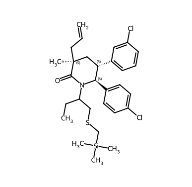 C=CC[C@@]1(C)C[C@H](c2cccc(Cl)c2)[C@@H](c2ccc(Cl)cc2)N(C(CC)CSC[Si](C)(C)C)C1=O